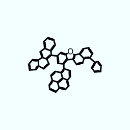 c1ccc(-c2cccc3c2ccc2c3oc3cc(-c4c5ccccc5cc5c4ccc4ccccc45)cc(-c4ccc5ccc6cccc7ccc4c5c67)c32)cc1